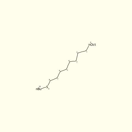 CCCCCCCCCCCCCCCCSCCCC